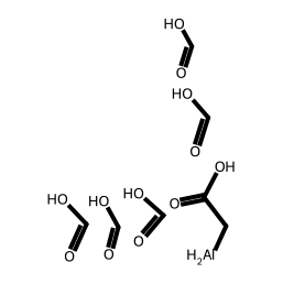 O=C(O)[CH2][AlH2].O=CO.O=CO.O=CO.O=CO.O=CO